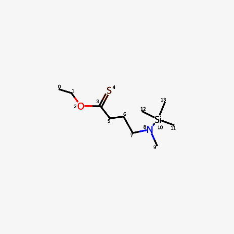 CCOC(=S)CCCN(C)[Si](C)(C)C